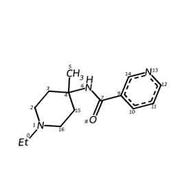 CCN1CCC(C)(NC(=O)c2cccnc2)CC1